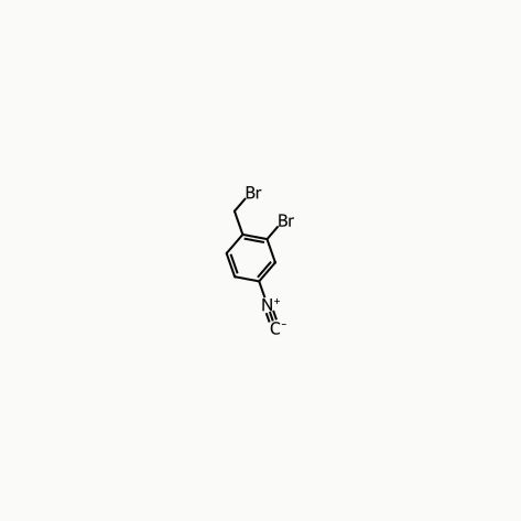 [C-]#[N+]c1ccc(CBr)c(Br)c1